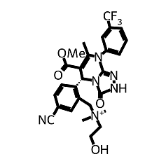 COC(=O)C1=C(C)N(c2cccc(C(F)(F)F)c2)c2n[nH]c(=O)n2[C@@H]1c1ccc(C#N)cc1C[N+](C)(C)CCO